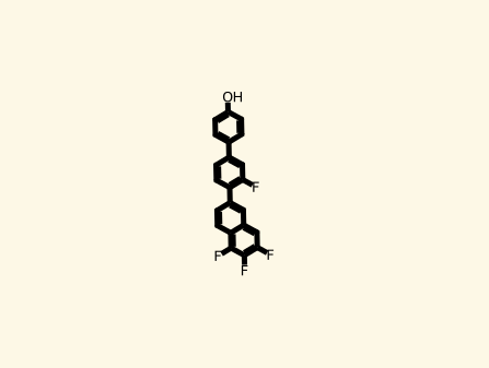 Oc1ccc(-c2ccc(-c3ccc4c(F)c(F)c(F)cc4c3)c(F)c2)cc1